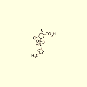 Cc1ccc(CNS(=O)(=O)c2cc(C(=O)O)c(Cl)cc2Cl)o1